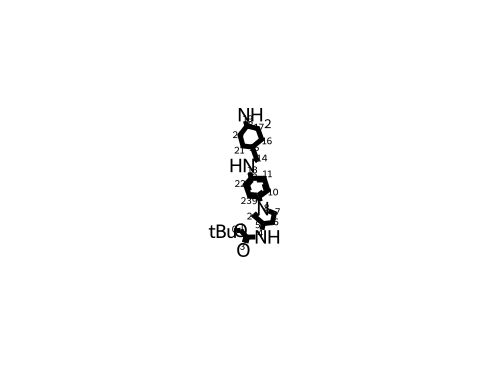 CC(C)(C)OC(=O)NC1CCN(c2ccc(NCC3CCC(N)CC3)cc2)C1